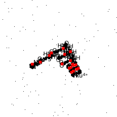 O=C([O-])CCCC[C@@H]1SC[C@@H]2NC(=O)N[C@@H]21.O=C([O-])CCCC[C@@H]1SC[C@@H]2NC(=O)N[C@@H]21.O=C([O-])CCCC[C@@H]1SC[C@@H]2NC(=O)N[C@@H]21.O=C([O-])CCCC[C@@H]1SC[C@@H]2NC(=O)N[C@@H]21.[Ru+4].c1ccc(-c2ccccn2)nc1.c1ccc(-c2ccccn2)nc1.c1ccc(-c2ccccn2)nc1.c1ccc(-c2ccccn2)nc1